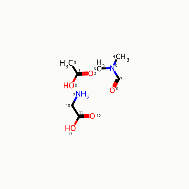 CC(=O)O.CN(C)C=O.NCC(=O)O